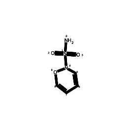 NS(=O)(=O)N1C=CC=CO1